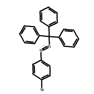 Brc1ccc(/N=N/C(c2ccccc2)(c2ccccc2)c2ccccc2)cc1